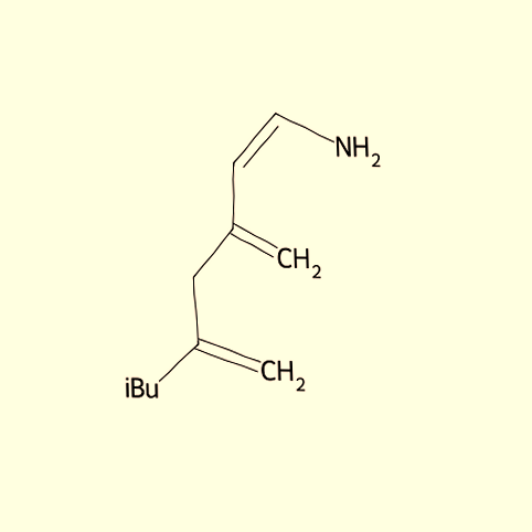 C=C(/C=C\N)CC(=C)C(C)CC